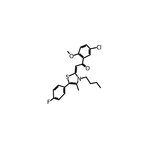 CCCCN1C(=CC(=O)c2cc(Cl)ccc2OC)SC(c2ccc(F)cc2)=C1C